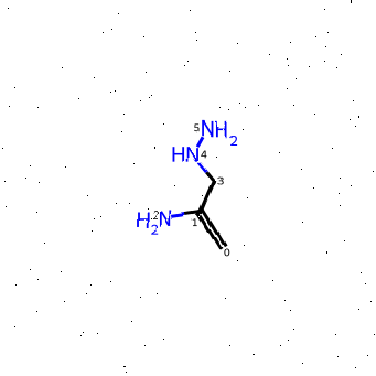 C=C(N)CNN